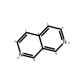 [c]1cc2ccncc2[c]n1